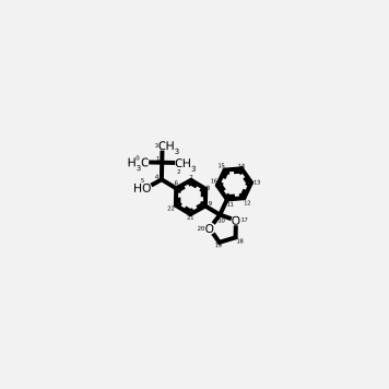 CC(C)(C)C(O)c1ccc(C2(c3ccccc3)OCCO2)cc1